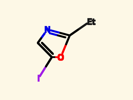 CCc1ncc(I)o1